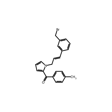 Cc1ccc(C(=O)c2cccn2CC=Cc2cccc(CBr)c2)cc1